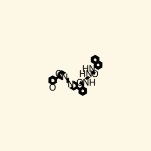 O=C1C=CC=C(C2=CN(CCN3CCC(c4ccccc4C(=O)NCCNC(=O)Nc4cccc5ccccc45)CC3)C=CO2)C1